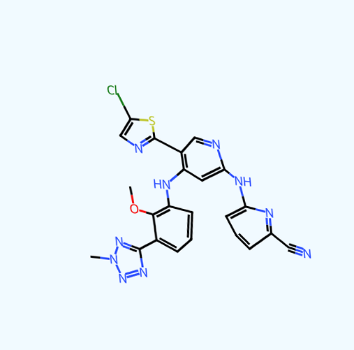 COc1c(Nc2cc(Nc3cccc(C#N)n3)ncc2-c2ncc(Cl)s2)cccc1-c1nnn(C)n1